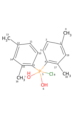 Cc1ccc(P(O)(O)(Cl)c2ccc(C)cc2C)c(C)c1